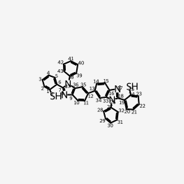 Sc1ccccc1-c1nc2ccc(-c3ccc4nc(-c5ccccc5S)n(-c5ccccc5)c4c3)cc2n1-c1ccccc1